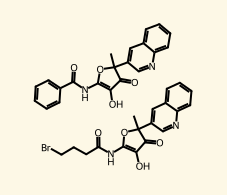 CC1(c2cnc3ccccc3c2)OC(NC(=O)CCCBr)=C(O)C1=O.CC1(c2cnc3ccccc3c2)OC(NC(=O)c2ccccc2)=C(O)C1=O